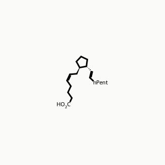 CCCCC/C=C/[C@H]1CCC[C@@H]1C/C=C\CCCC(=O)O